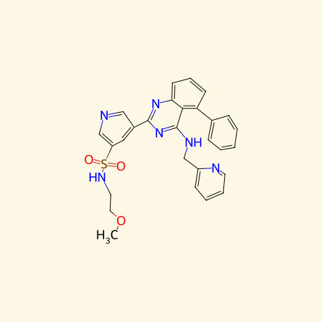 COCCNS(=O)(=O)c1cncc(-c2nc(NCc3ccccn3)c3c(-c4ccccc4)cccc3n2)c1